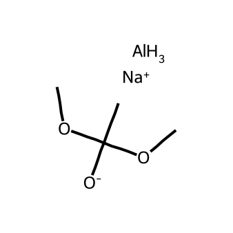 COC(C)([O-])OC.[AlH3].[Na+]